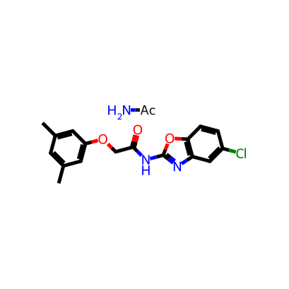 CC(N)=O.Cc1cc(C)cc(OCC(=O)Nc2nc3cc(Cl)ccc3o2)c1